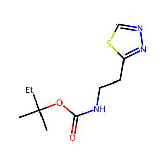 CCC(C)(C)OC(=O)NCCc1nn[c]s1